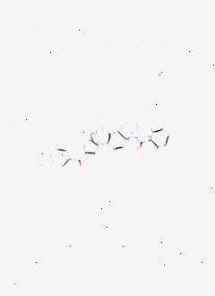 C/C=C(\C=C/CC)C(=O)c1cc(-c2ccc(NC(=O)c3c(F)cccc3F)cc2)c(C)s1